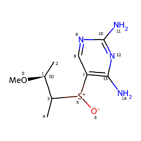 CO[C@@H](C)C(C)[S+]([O-])c1cnc(N)nc1N